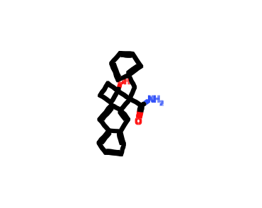 NC(=O)C(Cc1ccccc1)(c1ccc2ccccc2c1)C1(O)CCC1